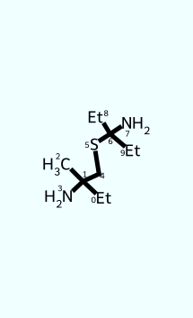 CCC(C)(N)CSC(N)(CC)CC